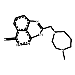 CN1CCCN(CC2=Nc3cccc4c(=O)[nH]nc(c34)N2)CC1